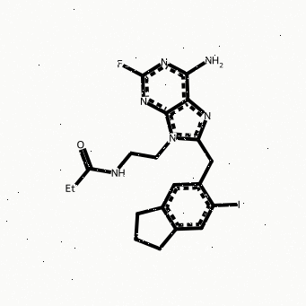 CCC(=O)NCCn1c(Cc2cc3c(cc2I)CCC3)nc2c(N)nc(F)nc21